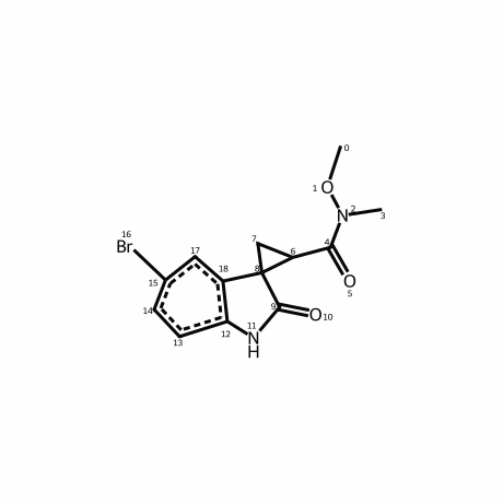 CON(C)C(=O)C1CC12C(=O)Nc1ccc(Br)cc12